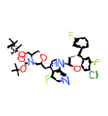 CCC(CC1CN(C(=O)OC(C)(C)C)C(CO[Si](C)(C)C(C)(C)C)CO1)c1c(F)cncc1NC(=O)C[C@H](c1cccc(F)c1)c1ccc(Cl)c(F)c1